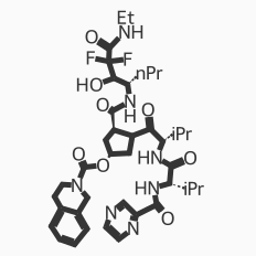 CCC[C@H](NC(=O)[C@@H]1C[C@@H](OC(=O)N2CCc3ccccc3C2)CC1C(=O)[C@@H](NC(=O)[C@@H](NC(=O)c1cnccn1)C(C)C)C(C)C)C(O)C(F)(F)C(=O)NCC